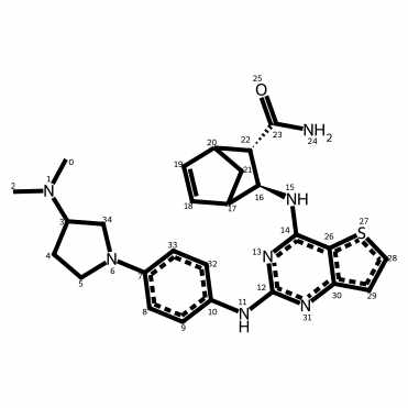 CN(C)C1CCN(c2ccc(Nc3nc(N[C@H]4C5C=CC(C5)[C@@H]4C(N)=O)c4sccc4n3)cc2)C1